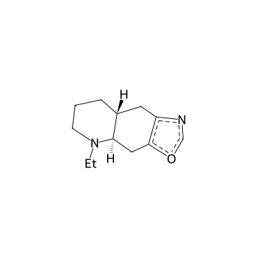 CCN1CCC[C@@H]2Cc3ncoc3C[C@H]21